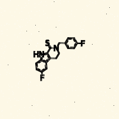 Fc1ccc(CN2CCc3c([nH]c4ccc(F)cc34)C2=S)cc1